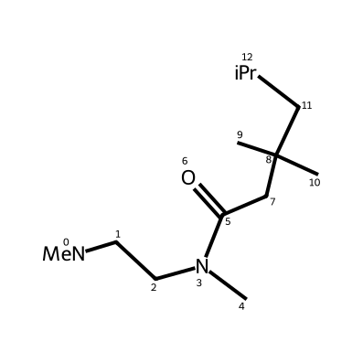 CNCCN(C)C(=O)CC(C)(C)CC(C)C